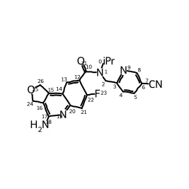 CC(C)N(Cc1ccc(C#N)cn1)C(=O)c1cc2c3c(c(N)nc2cc1F)COC3